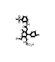 Cc1ccc(-c2c(CC(=O)Nc3cccc(S(C)(=O)=O)c3)c(C)nc(CC(C)C)c2CNC(=O)O)cc1